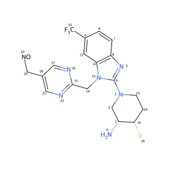 N[C@@H]1CN(c2nc3ccc(C(F)(F)F)cc3n2Cc2ncc(CN=O)cn2)CC[C@@H]1F